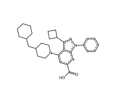 O=C(O)c1cc(N2CCC(CC3CCCCC3)CC2)c2c(C3CCC3)nn(-c3ccccc3)c2n1